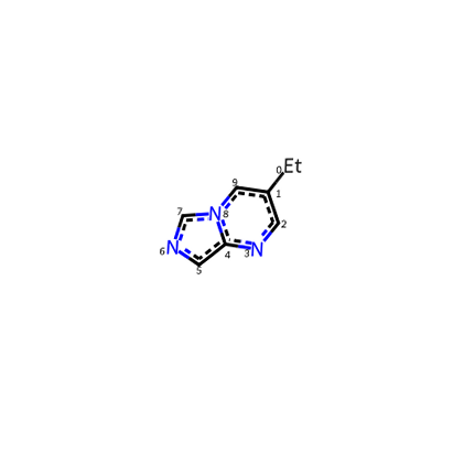 CCc1cnc2cncn2c1